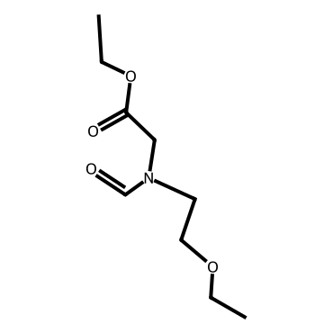 CCOCCN(C=O)CC(=O)OCC